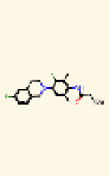 Cc1cc(N2CCc3cc(F)ccc3C2)c(F)c(C)c1NC(=O)CC(C)(C)C